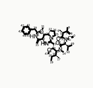 C=C=[N+](C(=O)[C@@H](C)C(=C)C)[C@H](C(=O)N(C)[C@@H]([C@@H](C)CC)[C@@H](CC(=N)N1CCC[C@H]1[C@H](OC)[C@@H](C)C(=C)N[C@H](C)Cc1ccccc1)OC)C(C)C